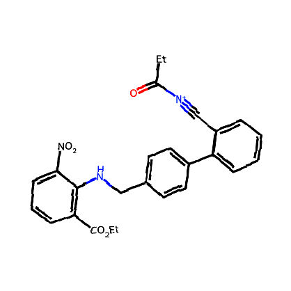 CCOC(=O)c1cccc([N+](=O)[O-])c1NCc1ccc(-c2ccccc2C#[N+]C(=O)CC)cc1